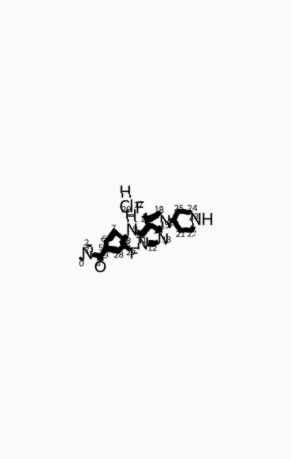 CN(C)C(=O)c1ccc(Nc2ncnc3c2c(F)cn3C2CCNCC2)c(F)c1.Cl